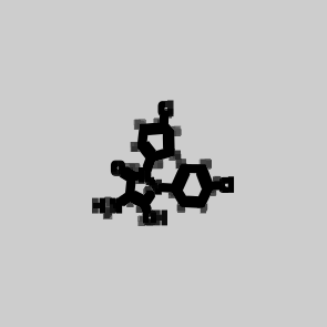 Nc1c(O)n(-c2ccc(Cl)cc2)n(-c2ccc(Cl)cc2)c1=O